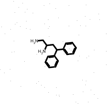 NCC(N)CC(c1ccccc1)c1ccccc1